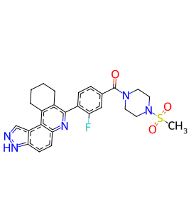 CS(=O)(=O)N1CCN(C(=O)c2ccc(-c3nc4ccc5[nH]ncc5c4c4c3CCCC4)c(F)c2)CC1